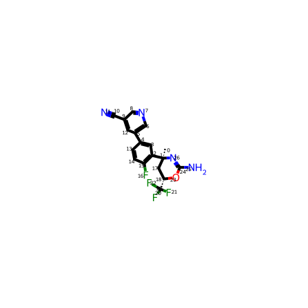 C[C@@]1(c2cc(-c3cncc(C#N)c3)ccc2F)C[C@@H](C(F)(F)F)OC(N)=N1